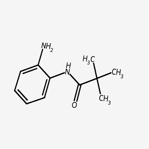 CC(C)(C)C(=O)Nc1ccccc1N